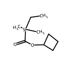 CC[Si](C)(C)C(=O)OC1CCC1